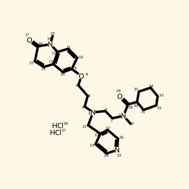 CN(CCN(CCCOc1ccc2c(ccc(=O)n2C)c1)Cc1ccncc1)C(=O)C1CCCCC1.Cl.Cl